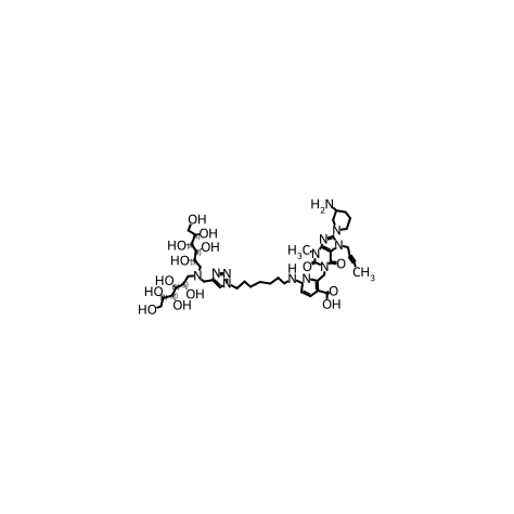 CC#CCn1c(N2CCCC(N)C2)nc2c1c(=O)n(Cc1nc(NCCCCCCCn3cc(CN(C[C@H](O)[C@@H](O)[C@H](O)[C@H](O)CO)C[C@H](O)[C@@H](O)[C@H](O)[C@H](O)CO)nn3)ccc1C(=O)O)c(=O)n2C